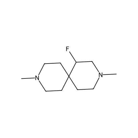 CN1CCC2(CC1)CCN(C)CC2F